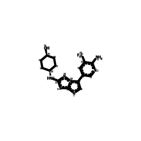 Nc1ncc(-c2cnc3sc(N[C@H]4CC[C@H](O)CC4)nn23)cc1C(F)(F)F